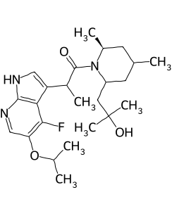 CC1CC(CC(C)(C)O)N(C(=O)C(C)c2c[nH]c3ncc(OC(C)C)c(F)c23)[C@@H](C)C1